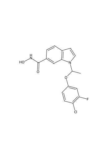 CC(Oc1ccc(Cl)c(F)c1)n1ccc2ccc(C(=O)NO)cc21